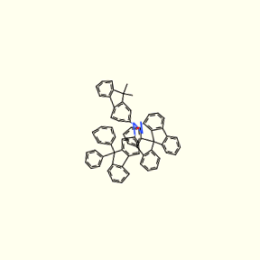 CC1(C)c2ccccc2-c2ccc(N(c3ccc4c(c3)C(c3ccccc3)(c3ccccc3)c3ccccc3-4)c3cccc4c3C3(c5ccccc5-c5ccccc53)c3ccccc3-4)cc21